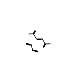 C=CC=C.NC(=O)C=CC(=O)O